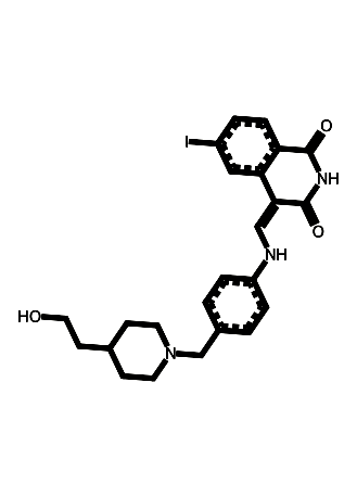 O=C1NC(=O)c2ccc(I)cc2C1=CNc1ccc(CN2CCC(CCO)CC2)cc1